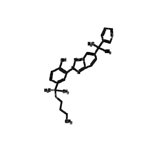 CCCCCC(C)(C)c1ccc(O)c(-n2nc3ccc(C(C)(C)c4ccccc4)cc3n2)c1